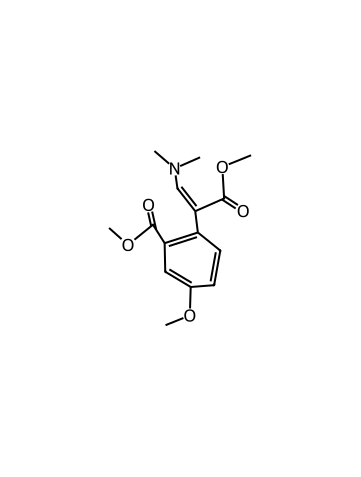 COC(=O)/C(=C\N(C)C)c1ccc(OC)cc1C(=O)OC